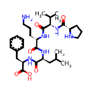 CC(C)C[C@H](NC(=O)[C@H](CCCN)NC(=O)[C@@H](NC(=O)[C@@H]1CCCN1)C(C)C)C(=O)N[C@H](Cc1ccccc1)C(=O)O